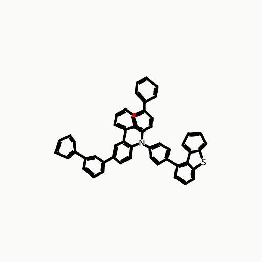 c1ccc(-c2ccc(N(c3ccc(-c4cccc5sc6ccccc6c45)cc3)c3ccc(-c4cccc(-c5ccccc5)c4)cc3-c3ccccc3)cc2)cc1